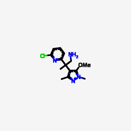 COc1c(C(C)(CN)c2cccc(Cl)n2)c(C)nn1C